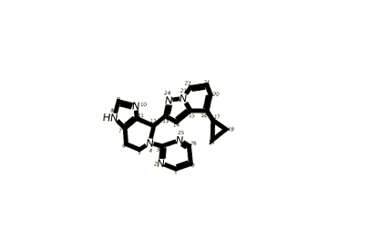 c1cnc(N2CCc3[nH]cnc3C2c2cc3c(C4CC4)cccn3n2)nc1